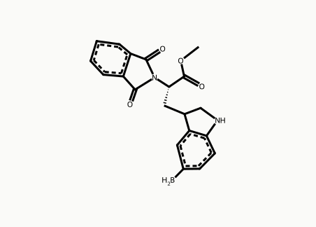 Bc1ccc2c(c1)C(C[C@@H](C(=O)OC)N1C(=O)c3ccccc3C1=O)CN2